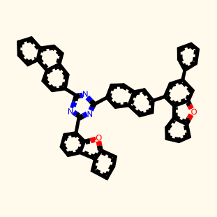 c1ccc(-c2cc(-c3ccc4cc(-c5nc(-c6ccc7c(ccc8ccccc87)c6)nc(-c6cccc7c6oc6ccccc67)n5)ccc4c3)c3c(c2)oc2ccccc23)cc1